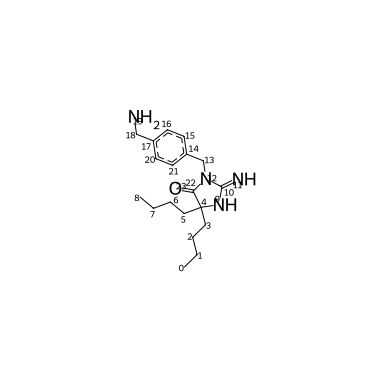 CCCCC1(CCCC)NC(=N)N(Cc2ccc(CN)cc2)C1=O